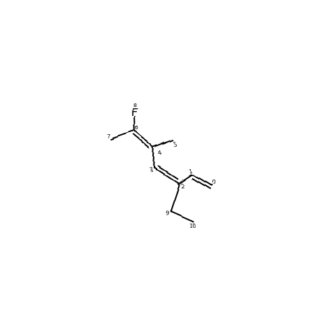 C=C/C(=C\C(C)=C(/C)F)CC